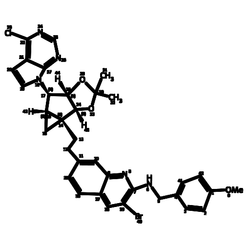 COc1ccc(CNc2nc3cc(CC[C@@]45C[C@@H]4[C@@H](n4ccc6c(Cl)ncnc64)[C@@H]4OC(C)(C)O[C@@H]45)ccc3cc2Br)cc1